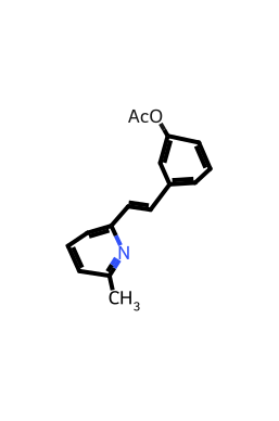 CC(=O)Oc1cccc(C=Cc2cccc(C)n2)c1